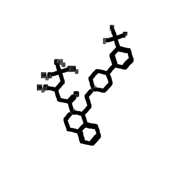 CC(CC(=O)N1CCc2ccccc2C1CCN1CCC(c2cccc(C(F)(F)F)c2)CC1)CC(C)(C)C